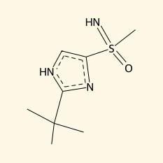 CC(C)(C)c1nc(S(C)(=N)=O)c[nH]1